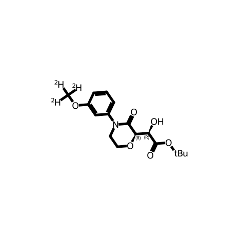 [2H]C([2H])([2H])Oc1cccc(N2CCO[C@H]([C@@H](O)C(=O)OC(C)(C)C)C2=O)c1